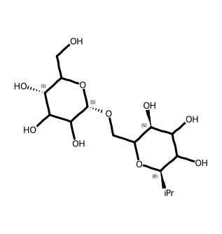 CC(C)[C@H]1OC(CO[C@H]2OC(CO)[C@@H](O)C(O)C2O)[C@@H](O)C(O)C1O